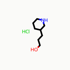 Cl.OCCCC1CCCNC1